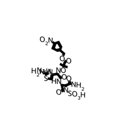 CC(C)(O/N=C(\C(=O)NC1C(=O)N(S(=O)(=O)O)C1C(N)=O)c1csc(N)n1)C(=O)OCc1ccc([N+](=O)[O-])cc1.[NaH]